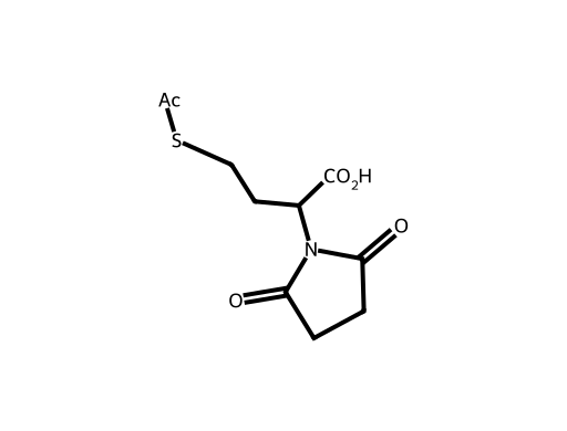 CC(=O)SCCC(C(=O)O)N1C(=O)CCC1=O